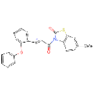 COc1ccc2c(c1)sc(=O)n2C(=O)/C=C/c1ccccc1Oc1ccccc1